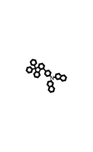 c1ccc(C2(c3ccccc3)c3ccccc3-c3c(-c4ccc(N(c5ccc6ccccc6c5)c5ccc6ccccc6c5)cc4)cccc32)cc1